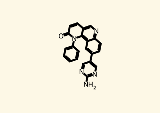 Nc1ncc(-c2ccc3ncc4ccc(=O)n(-c5ccccc5)c4c3c2)cn1